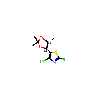 [CH2][C@H]1OC(C)(C)O[C@@H]1c1sc(Cl)nc1Cl